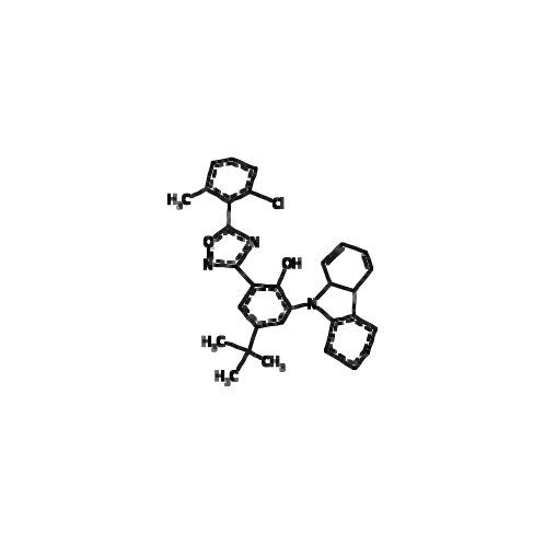 Cc1cccc(Cl)c1-c1nc(-c2cc(C(C)(C)C)cc(N3c4ccccc4C4C=CC=CC43)c2O)no1